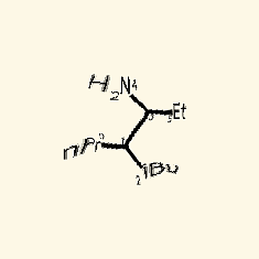 CCCC(C(C)CC)C(N)CC